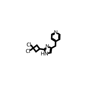 ClC1(Cl)CC(c2nc(Cc3ccncc3)c[nH]2)C1